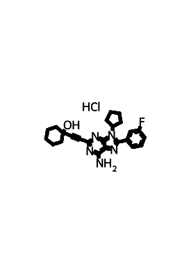 Cl.Nc1nc(C#CC2(O)CCCCC2)nc2c1nc(-c1cccc(F)c1)n2C1CCCC1